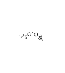 COC(=O)c1ccc(Cc2ccc(C(C)=O)cc2)cc1